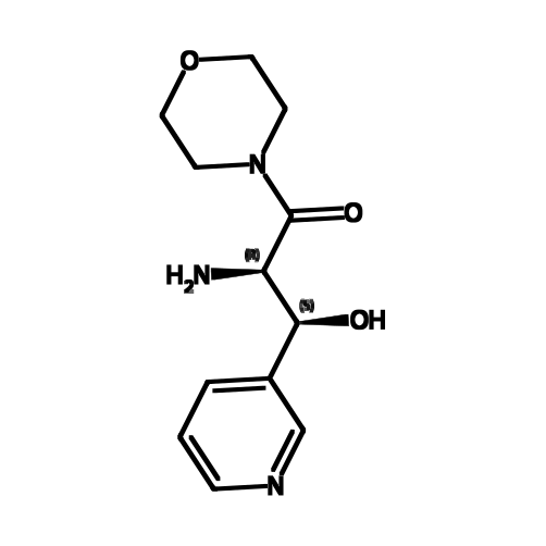 N[C@@H](C(=O)N1CCOCC1)[C@@H](O)c1cccnc1